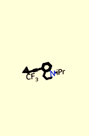 CC(C)N1CCCc2c(C#CC3(C(F)(F)F)CC3)cccc21